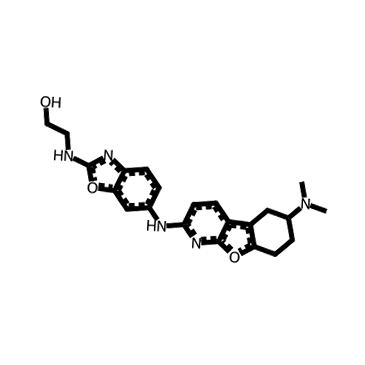 CN(C)C1CCc2oc3nc(Nc4ccc5nc(NCCO)oc5c4)ccc3c2C1